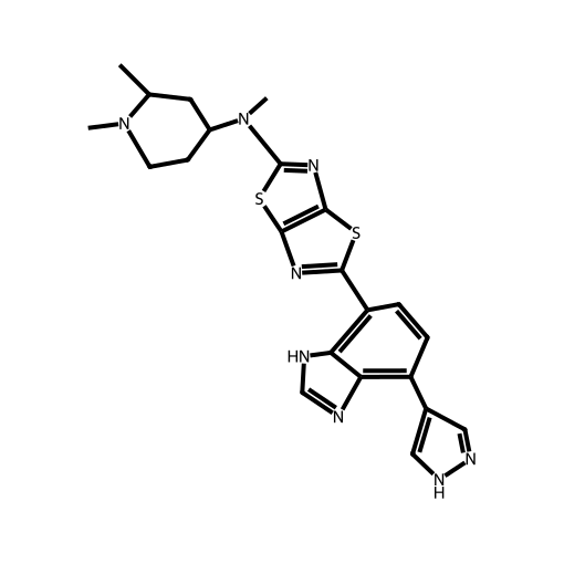 CC1CC(N(C)c2nc3sc(-c4ccc(-c5cn[nH]c5)c5nc[nH]c45)nc3s2)CCN1C